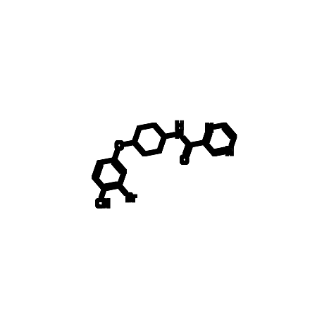 N#Cc1ccc(OC2CCC(NC(=O)c3cnccn3)CC2)cc1Br